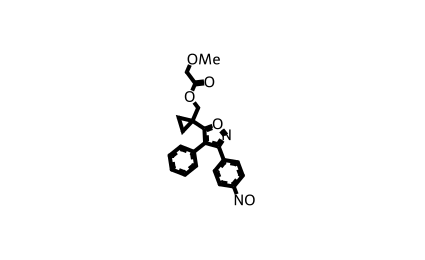 COCC(=O)OCC1(c2onc(-c3ccc(N=O)cc3)c2-c2ccccc2)CC1